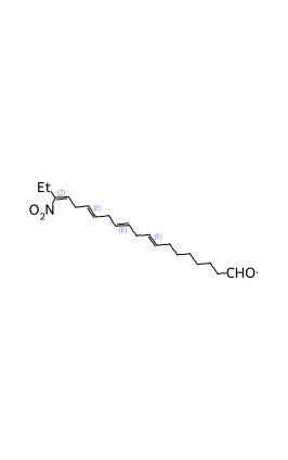 CC/C(=C/C/C=C/C/C=C/C/C=C/CCCCCC[C]=O)[N+](=O)[O-]